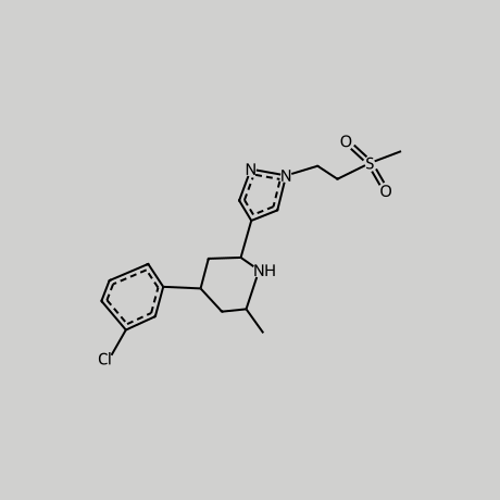 CC1CC(c2cccc(Cl)c2)CC(c2cnn(CCS(C)(=O)=O)c2)N1